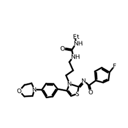 CCNC(=O)NCCCn1c(-c2ccc(N3CCOCC3)cc2)cs/c1=N\C(=O)c1ccc(F)cc1